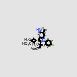 COCC(C)(C)c1c([C@H]2C[C@](C)(C(=O)O)C2)c2nc3[nH]ncc3cc2n1-c1ccc(F)cc1